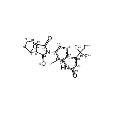 Cc1c(N2C(=O)C3C4CCC(O4)C3C2=O)ccc2c(C(F)(F)F)cc(=O)[nH]c12